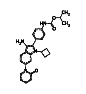 CC(C)OC(=O)Nc1ccc(-c2c(N)c3ccc(-n4ccccc4=O)cc3n2C2CCC2)cc1